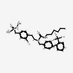 CCCCCCNC(=O)N(CCc1ccc(CP(=O)(O)OO)cc1F)Cc1ccc(-c2ccccc2C(F)(F)F)cc1